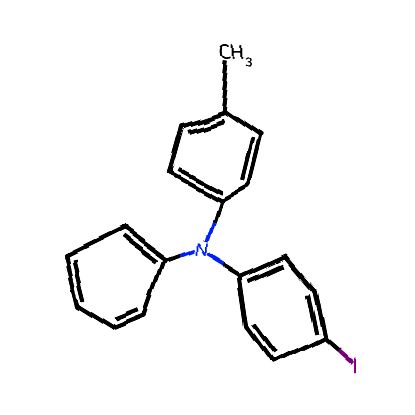 Cc1ccc(N(c2ccccc2)c2ccc(I)cc2)cc1